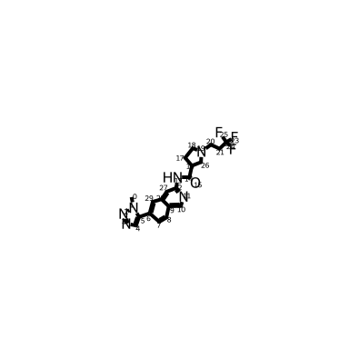 Cn1nncc1-c1ccc2cnc(NC(=O)C3CCN(CCC(F)(F)F)C3)cc2c1